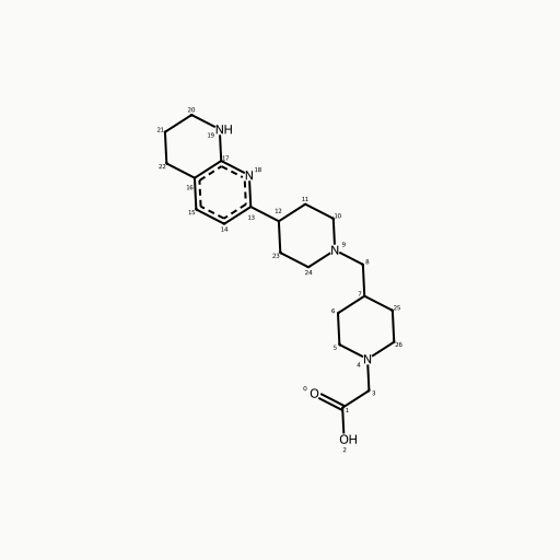 O=C(O)CN1CCC(CN2CCC(c3ccc4c(n3)NCCC4)CC2)CC1